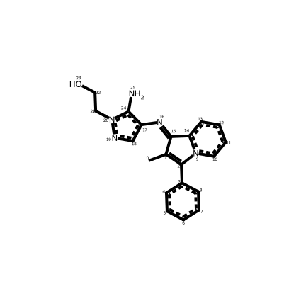 CC1=C(c2ccccc2)[n+]2ccccc2/C1=N/c1cnn(CCO)c1N